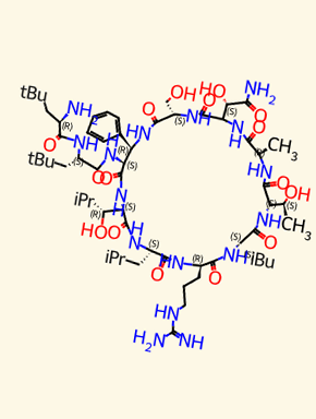 CC[C@H](C)[C@@H]1NC(=O)[C@@H](CCCNC(=N)N)NC(=O)[C@H](CC(C)C)NC(=O)[C@H]([C@H](O)C(C)C)NC(=O)[C@@H](NC(=O)[C@H](CC(C)(C)C)NC(=O)[C@H](N)CC(C)(C)C)[C@@H](c2ccccc2)NC(=O)[C@H](CO)NC(=O)C([C@H](O)C(N)=O)NC(=O)[C@@H](C)NC(=O)[C@H]([C@H](C)O)NC1=O